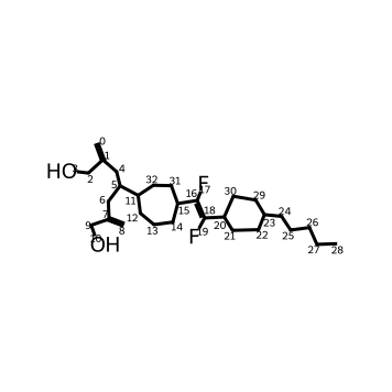 C=C(CO)CC(CC(=C)CO)C1CCCC(/C(F)=C(\F)C2CCC(CCCCC)CC2)CC1